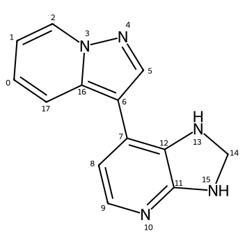 c1ccn2ncc(-c3ccnc4c3NCN4)c2c1